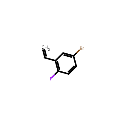 C=[C]c1cc(Br)ccc1I